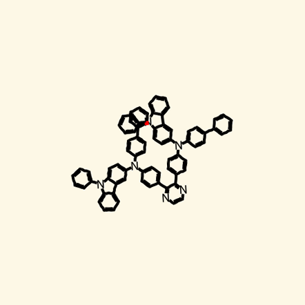 c1ccc(-c2ccc(N(c3ccc(-c4nccnc4-c4ccc(N(c5ccc(-c6ccccc6)cc5)c5ccc6c(c5)c5ccccc5n6-c5ccccc5)cc4)cc3)c3ccc4c(c3)c3ccccc3n4-c3ccccc3)cc2)cc1